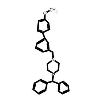 COc1ccc(-c2cccc(CN3CCN(C(c4ccccc4)c4ccccc4)CC3)c2)cc1